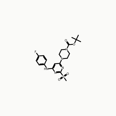 CC(C)(C)OC(=O)N1CCN(c2cc(Nc3ccc(F)cc3)nc(S(C)(=O)=O)n2)CC1